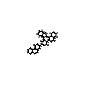 c1ccc2c(c1)ccc1cc(-c3ccc4c5ccc6ccccc6c5c5nc6ccccc6n5c4c3)ccc12